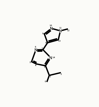 CC(C)c1ccnc(-c2cnn(C)c2)n1